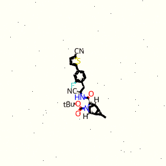 CC1C2C1[C@@H]1C[C@H]2[C@@H](C(=O)N[C@H](C#N)Cc2ccc(-c3ccc(C#N)s3)cc2F)N1C(=O)OC(C)(C)C